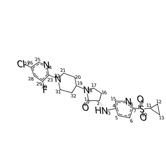 O=C1[C@@H](Nc2ccc(S(=O)(=O)C3CC3)nc2)CCN1C1CCN(c2ncc(Cl)cc2F)CC1